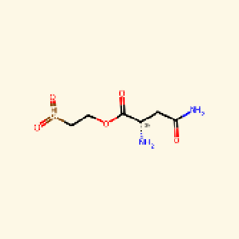 NC(=O)C[C@H](N)C(=O)OCC[SH](=O)=O